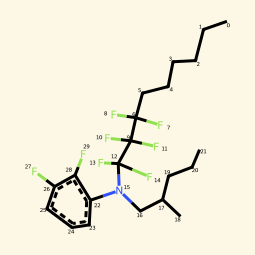 CCCCCCC(F)(F)C(F)(F)C(F)(F)N(CC(C)CCC)c1cccc(F)c1F